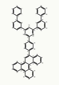 c1ccc(-c2cccc(-c3nc(-c4ccc(-c5cc6c7ccccc7c7ccccc7c6c6ccccc56)cc4)nc(-c4cccc(-c5ccccc5)c4)n3)c2)cc1